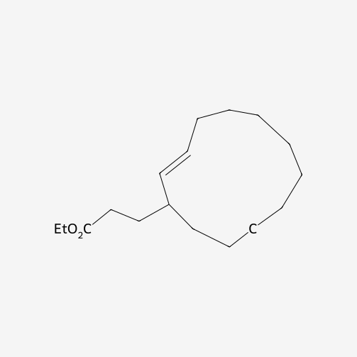 CCOC(=O)CCC1/C=C/CCCCCCCCC1